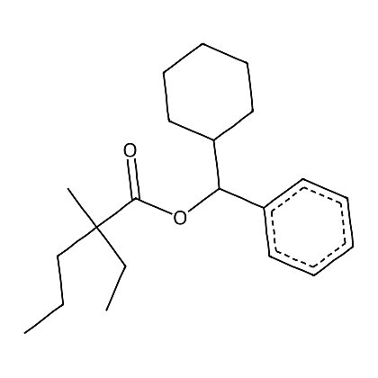 CCCC(C)(CC)C(=O)OC(c1ccccc1)C1CCCCC1